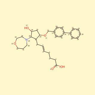 O=C(O)CCCC=CCC1C(OCc2ccc(-c3ccccc3)cc2)CC(O)C1N1CCCOCC1